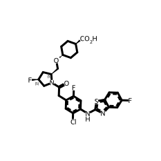 O=C(Cc1cc(Cl)c(Nc2nc3cc(F)ccc3s2)cc1F)N1C[C@@H](F)C[C@H]1CO[C@H]1CC[C@H](C(=O)O)CC1